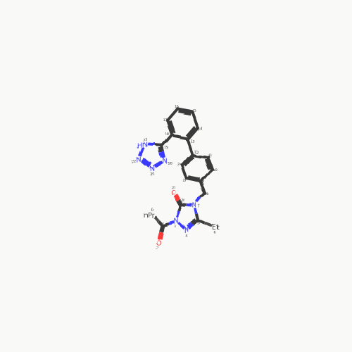 CCCC(=O)n1nc(CC)n(Cc2ccc(-c3ccccc3-c3nnn[nH]3)cc2)c1=O